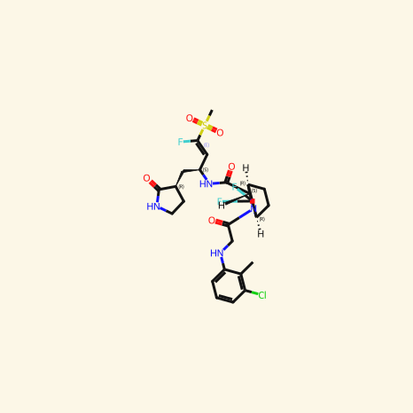 Cc1c(Cl)cccc1NCC(=O)N1[C@@H]2CC[C@H]([C@H]1C(=O)N[C@H](/C=C(\F)S(C)(=O)=O)C[C@H]1CCNC1=O)C(F)(F)C2